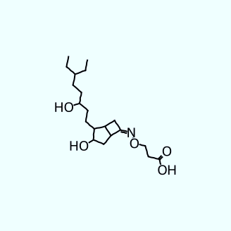 CCC(CC)CCC(O)CCC1C(O)CC2C(=NOCCC(=O)O)CC21